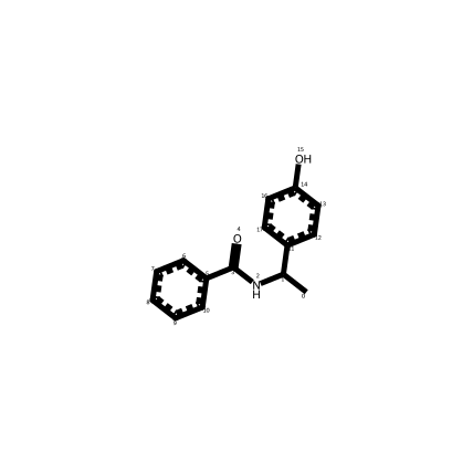 CC(NC(=O)c1ccccc1)c1ccc(O)cc1